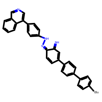 CC(C)(C)c1ccc(-c2ccc(C3=CC(=N)/C(=N\Nc4ccc(-c5cncc6ccccc56)cc4)C=C3)cc2)cc1